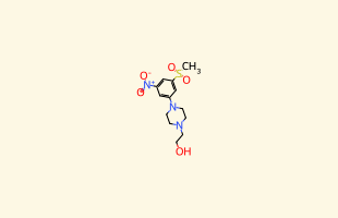 CS(=O)(=O)c1cc(N2CCN(CCO)CC2)cc([N+](=O)[O-])c1